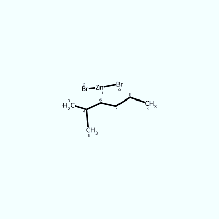 [Br][Zn][Br].[CH2]C(C)CCCC